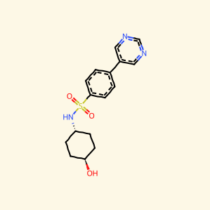 O=S(=O)(N[C@H]1CC[C@H](O)CC1)c1ccc(-c2cncnc2)cc1